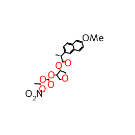 COc1ccc2cc([C@H](C)C(=O)OC3COCC3OC(=O)OC(C)O[N+](=O)[O-])ccc2c1